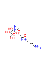 CC(=O)NC1C(OCCCC(=O)NCCCCCCN)OC(CO)C(O)C1O